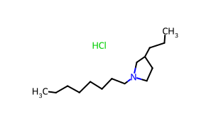 CCCCCCCCN1CCC(CCC)C1.Cl